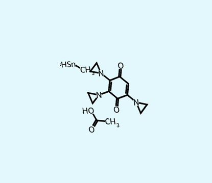 CC(=O)O.O=C1C=C(N2CC2)C(=O)C(N2CC2)=C1N1CC1.[CH3][SnH]